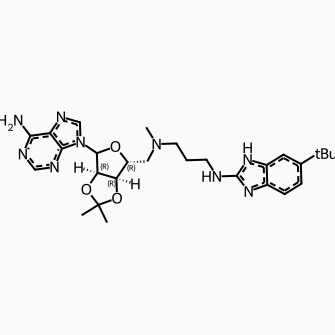 CN(CCCNc1nc2ccc(C(C)(C)C)cc2[nH]1)C[C@H]1OC(n2cnc3c(N)ncnc32)[C@@H]2OC(C)(C)O[C@H]12